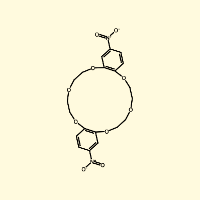 O=[N+]([O-])c1ccc2c(c1)OCCOCCOc1ccc([N+](=O)[O-])cc1OCCOCCO2